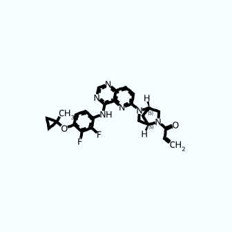 C=CC(=O)N1C[C@@H]2C[C@H]1CN2c1ccc2ncnc(Nc3ccc(OC4(C)CC4)c(F)c3F)c2n1